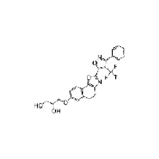 OCC(O)COc1ccc2c(c1)CCc1nc(-c3onc(-c4ccccc4)c3C(F)(F)F)oc1-2